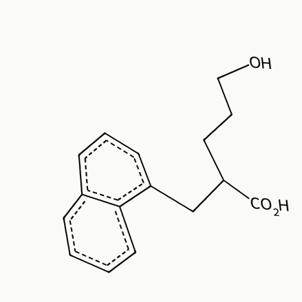 O=C(O)C(CCCO)Cc1cccc2ccccc12